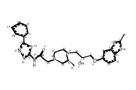 Cc1nc2cc(OC[C@H](O)CN3CCN(CC(=O)Nc4nnc(-c5ccccc5)s4)C[C@@H]3C)ccc2s1